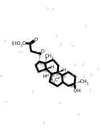 CCOC(=O)C(=O)CC(=O)[C@H]1CC[C@H]2[C@@H]3CCC4C[C@](C)(O)CC[C@]4(C)[C@H]3CC[C@]12C